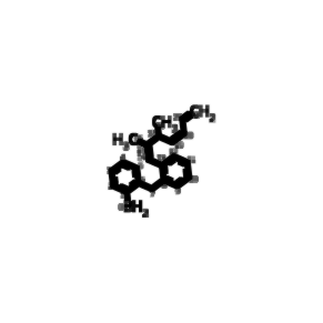 Bc1ccccc1Cc1ccccc1/C=C(/C)C(C)/C=C\C=C